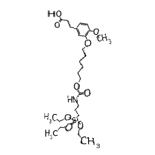 CCO[Si](CCCNC(=O)OCCCCCCOc1cc(C=CC(=O)O)ccc1OC)(OCC)OCC